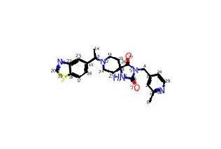 Cc1cc(CN2C(=O)NC3(CCN(C(C)c4ccc5scnc5c4)CC3)C2=O)ccn1